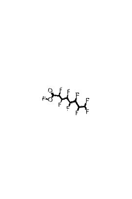 O=C(OF)C(F)C(F)C(F)C(F)C(F)C(F)C(F)F